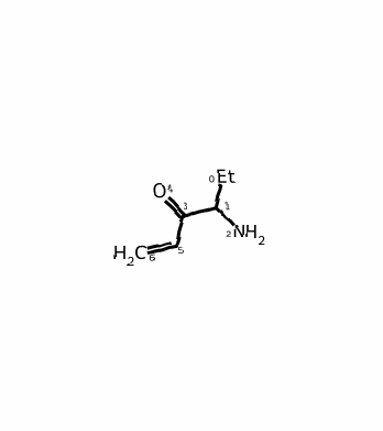 [CH2]CC(N)C(=O)C=C